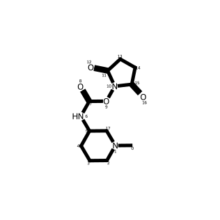 CN1CCCC(NC(=O)ON2C(=O)CCC2=O)C1